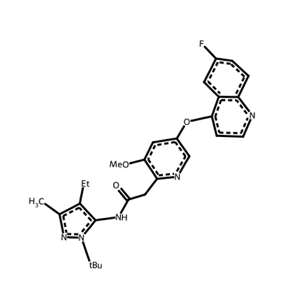 CCc1c(C)nn(C(C)(C)C)c1NC(=O)Cc1ncc(Oc2ccnc3ccc(F)cc23)cc1OC